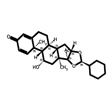 CC(=O)[C@@]12O[C@H](C3CCCCC3)O[C@H]1C[C@H]1[C@@H]3CCC4=CC(=O)C=C[C@]4(C)[C@H]3[C@@H](O)C[C@@]12C